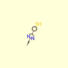 CC#Cc1ncc(-c2ccc(S)cc2)cn1